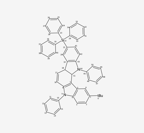 CC(C)(C)c1ccc2c(c1)c1c(n2-c2ccccc2)C=CC2c3cc([Si](c4ccccc4)(c4ccccc4)c4ccccc4)ccc3N(c3ccccc3)C12